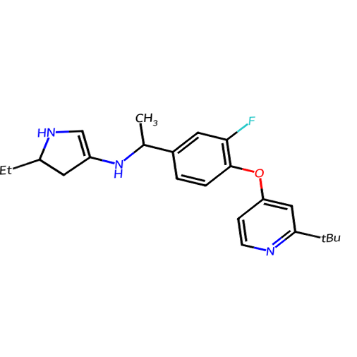 CCC1CC(NC(C)c2ccc(Oc3ccnc(C(C)(C)C)c3)c(F)c2)=CN1